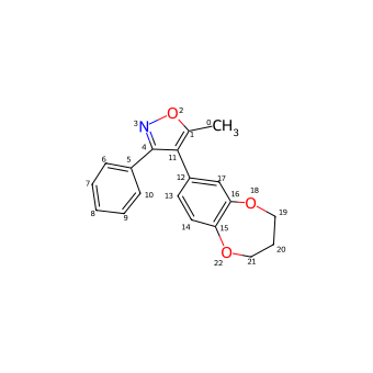 Cc1onc(-c2ccccc2)c1-c1ccc2c(c1)OCCCO2